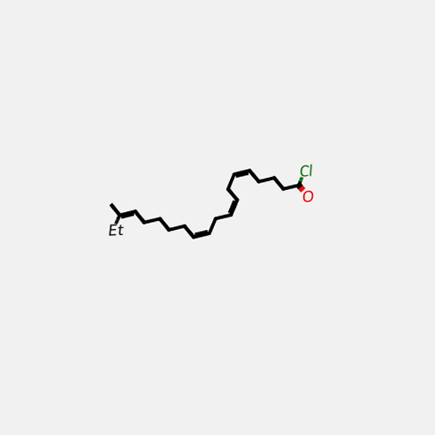 CC/C(C)=C\CCCC/C=C\C/C=C\C/C=C\CCCC(=O)Cl